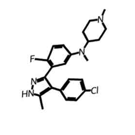 Cc1[nH]nc(-c2cc(N(C)C3CCN(C)CC3)ccc2F)c1-c1ccc(Cl)cc1